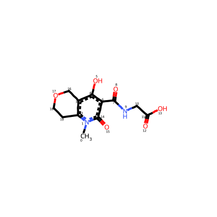 Cn1c2c(c(O)c(C(=O)NCC(=O)O)c1=O)COCC2